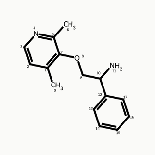 Cc1ccnc(C)c1OCC(N)c1ccccc1